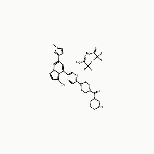 Cn1cc(-c2cc(-c3ccc(N4CCN(C(=O)C5CCCNC5)CC4)nc3)c3c(C#N)cnn3c2)cn1.O=C(O)C(F)(F)F.O=C(O)C(F)(F)F